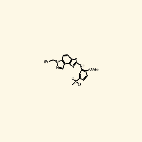 COc1ccc(S(C)(=O)=O)cc1Nc1nc2c(ccc3c2cnn3CC(C)C)s1